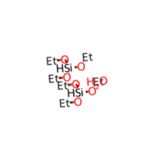 CCO[SiH](OCC)OCC.CCO[SiH](OCC)OCC.O